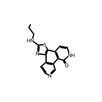 CCCNc1nc2c3ccncc3c3c(=O)[nH]ccc3c2s1